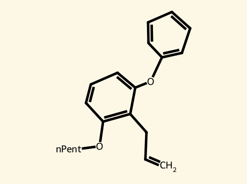 C=CCc1c(OCCCCC)cccc1Oc1ccccc1